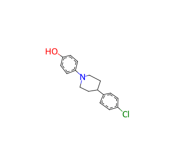 Oc1ccc(N2CCC(c3ccc(Cl)cc3)CC2)cc1